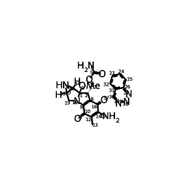 CO[C@@]12[C@H](COC(N)=O)C3=C(C(=O)C(C)=C(N)C3=O)N1C[C@@H]1N[C@@H]12.c1ccc2nnncc2c1